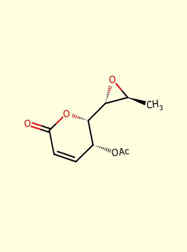 CC(=O)O[C@@H]1C=CC(=O)O[C@@H]1[C@@H]1O[C@H]1C